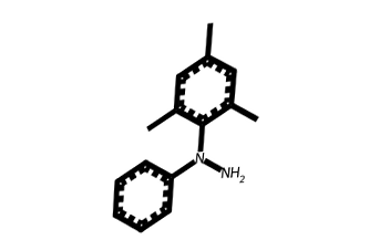 Cc1cc(C)c(N(N)c2ccccc2)c(C)c1